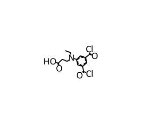 CCN(CCC(=O)O)c1cc(C(=O)Cl)cc(C(=O)Cl)c1